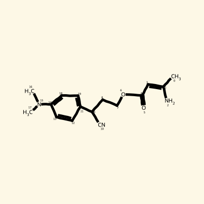 C/C(N)=C/C(=O)OCCC(C#N)c1ccc(N(C)C)cc1